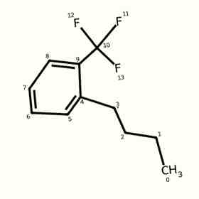 CCC[CH]c1ccccc1C(F)(F)F